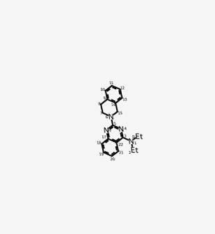 CCN(CC)c1nc(N2CCc3ccccc3C2)nc2ccccc12